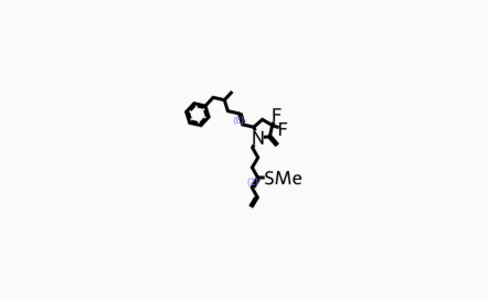 C=C/C=C(/CCCN1C(=C)C(F)(F)CC1/C=C/CC(C)Cc1ccccc1)SC